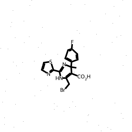 CC1(c2ccc(F)cc2)N=C(c2nccs2)NC(CBr)=C1C(=O)O